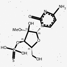 CO[C@@]1(O)[C@H](OP(O)(O)=S)[C@@H](CO)O[C@H]1n1ccc(N)nc1=O